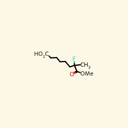 COC(=O)C(C)(F)CCCCCC(=O)O